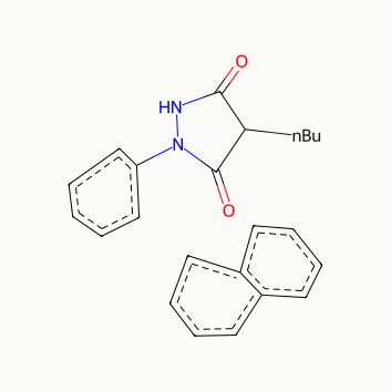 CCCCC1C(=O)NN(c2ccccc2)C1=O.c1ccc2ccccc2c1